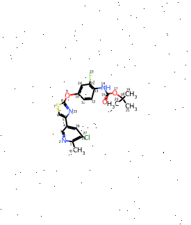 Cc1ncc(-c2csc(Oc3ccc(NC(=O)OC(C)(C)C)c(F)c3)n2)cc1Cl